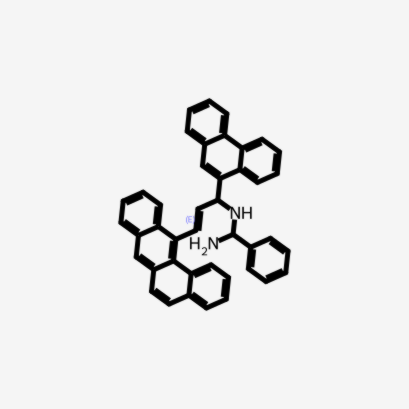 NC(NC(/C=C/c1c2ccccc2cc2ccc3ccccc3c12)c1cc2ccccc2c2ccccc12)c1ccccc1